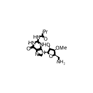 CO[C@H]1[C@@H](O)[C@H](n2cnc3c(=O)[nH]c(NC(=O)C(C)C)nc32)O[C@@H]1CN